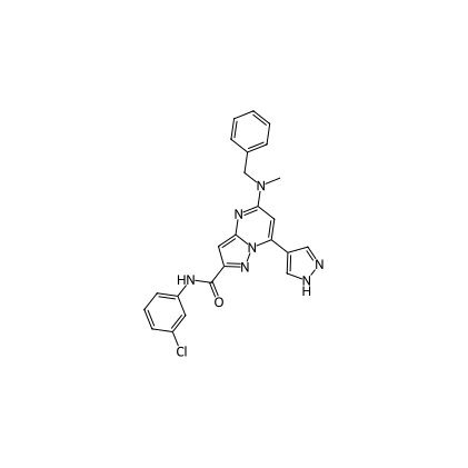 CN(Cc1ccccc1)c1cc(-c2cn[nH]c2)n2nc(C(=O)Nc3cccc(Cl)c3)cc2n1